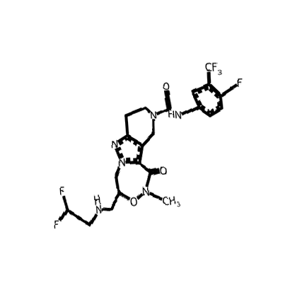 CN1OC(CNCC(F)F)Cn2nc3c(c2C1=O)CN(C(=O)Nc1ccc(F)c(C(F)(F)F)c1)CC3